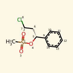 CS(=O)(=O)O[C@H](CCCl)c1ccccc1